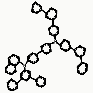 c1ccc(-c2cccc(-c3ccc(N(c4ccc(-c5ccc(N(c6cc(-c7ccccc7)cc(-c7ccccc7)c6)c6cccc7ccccc67)cc5)cc4)c4ccc(-c5cccc(-c6ccccc6)c5)cc4)cc3)c2)cc1